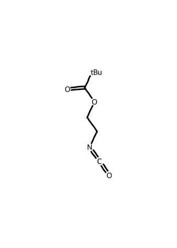 CC(C)(C)C(=O)OCCN=C=O